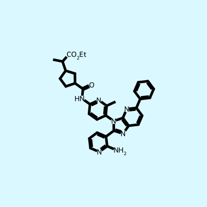 CCOC(=O)C(C)C1CCC(C(=O)Nc2ccc(-n3c(-c4cccnc4N)nc4ccc(-c5ccccc5)nc43)c(C)n2)C1